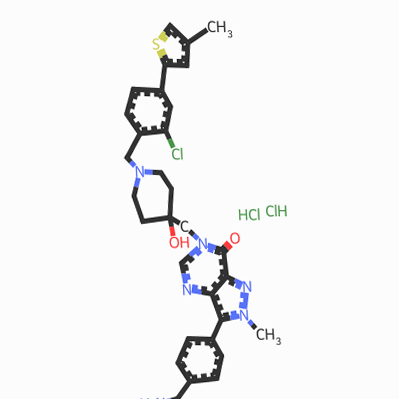 Cc1csc(-c2ccc(CN3CCC(O)(Cn4cnc5c(-c6ccc(CN)cc6)n(C)nc5c4=O)CC3)c(Cl)c2)c1.Cl.Cl